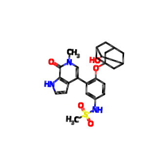 Cn1cc(-c2cc(NS(C)(=O)=O)ccc2OC23CC4CC(C2)C(O)C(C4)C3)c2cc[nH]c2c1=O